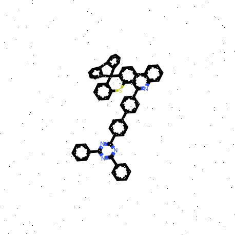 c1ccc(-c2nc(-c3ccccc3)nc(-c3ccc(-c4ccc(-c5nc6ccccc6c6ccc7c(c56)Sc5ccccc5C75c6ccccc6-c6ccccc65)cc4)cc3)n2)cc1